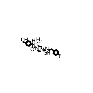 CCc1ccc(NC(=O)N2CCN(c3nc(Cc4ccc(F)cc4)ns3)CC2C)cc1